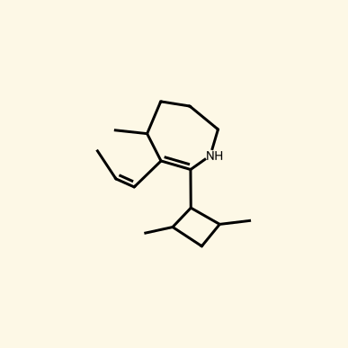 C/C=C\C1=C(C2C(C)CC2C)NCCCC1C